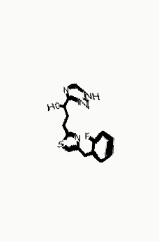 OC(CCc1nc(Cc2ccccc2F)cs1)c1nc[nH]n1